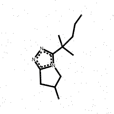 CCCC(C)(C)c1nnc2n1CC(C)C2